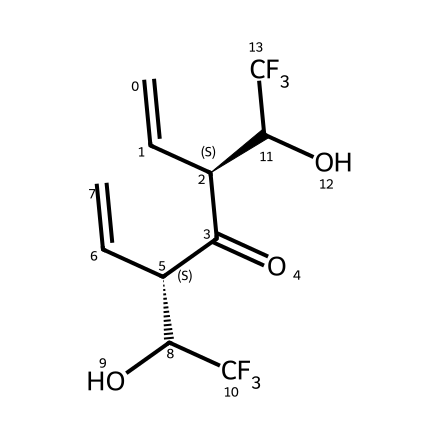 C=C[C@H](C(=O)[C@@H](C=C)C(O)C(F)(F)F)C(O)C(F)(F)F